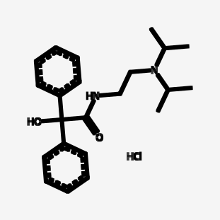 CC(C)N(CCNC(=O)C(O)(c1ccccc1)c1ccccc1)C(C)C.Cl